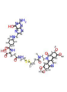 COc1cc2c(=O)n(CCN(C)C(=O)CCC(C)SSCCNC(=O)CC[C@H](NC(=O)c3ccc(NCc4cnc5nc(N)nc(O)c5n4)cc3)C(=O)O)c3c4cc5c(cc4ncc3c2cc1OC)OCO5